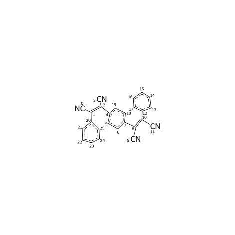 N#CC(=C(C#N)c1ccc(C(C#N)=C(C#N)c2ccccc2)cc1)c1ccccc1